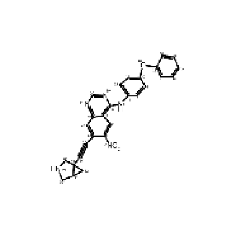 O=[N+]([O-])c1cc2c(Nc3ccc(Oc4ccccc4)cc3)ncnc2cc1C#CC12CNCC1C2